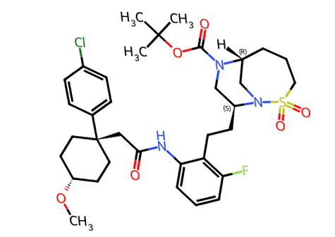 CO[C@H]1CC[C@@](CC(=O)Nc2cccc(F)c2CC[C@H]2CN(C(=O)OC(C)(C)C)[C@@H]3CCCS(=O)(=O)N2C3)(c2ccc(Cl)cc2)CC1